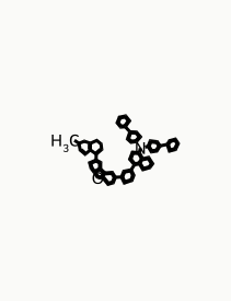 CC1C=CC2=C(CCC=C2c2ccc3oc4ccc(-c5cccc(-c6ccc(N(c7ccc(-c8ccccc8)cc7)c7ccc(-c8ccccc8)cc7)c7ccccc67)c5)cc4c3c2)C1